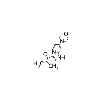 CC(C)C(=O)C1=CNC2C=C(N3CCOCC3)C=CN12